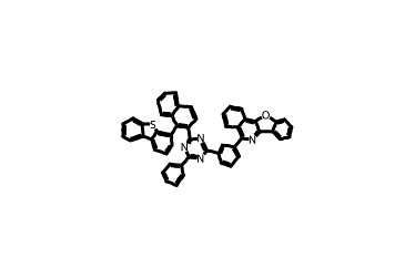 c1ccc(-c2nc(-c3cccc(-c4nc5c6ccccc6oc5c5ccccc45)c3)nc(-c3ccc4ccccc4c3-c3cccc4c3sc3ccccc34)n2)cc1